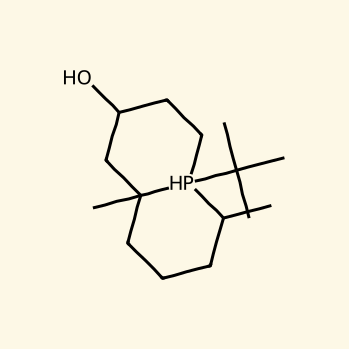 CC1CCCC2(C)CC(O)CC[PH]12C(C)(C)C